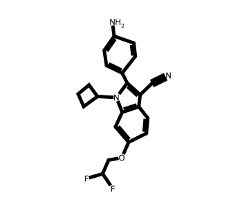 N#Cc1c(-c2ccc(N)cc2)n(C2CCC2)c2cc(OCC(F)F)ccc12